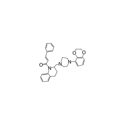 O=C(C=Cc1ccccc1)N1c2ccccc2CCC1CN1CCN(c2cccc3c2OCCO3)CC1